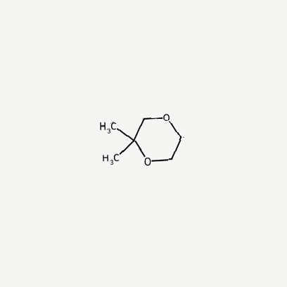 CC1(C)CO[CH]CO1